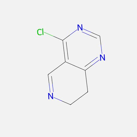 Clc1ncnc2c1C=NCC2